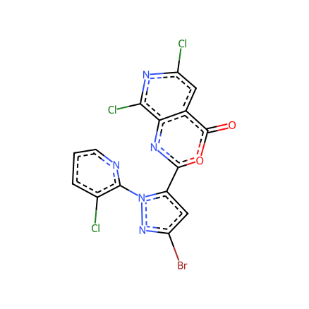 O=c1oc(-c2cc(Br)nn2-c2ncccc2Cl)nc2c(Cl)nc(Cl)cc12